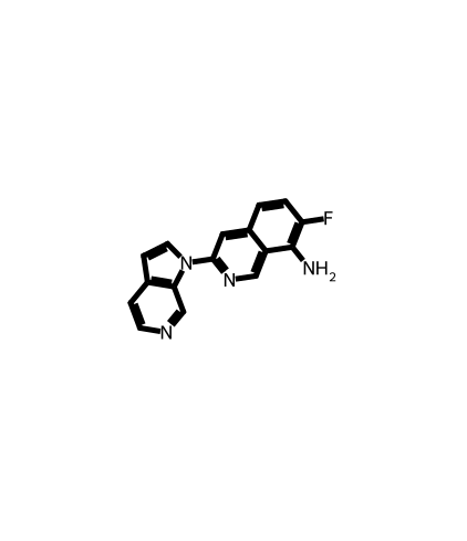 Nc1c(F)ccc2cc(-n3ccc4ccncc43)ncc12